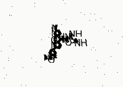 CN(C)C(=O)c1ccc(-c2ccc3c(n2)Oc2nc(N(C)C)ccc2C3C(C)(C)C(=O)NC(=N)SC=N)cc1F